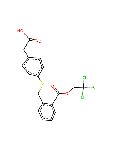 O=C(O)Cc1ccc(SCc2ccccc2C(=O)OCC(Cl)(Cl)Cl)cc1